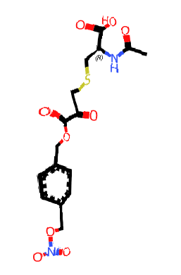 CC(=O)N[C@@H](CSCC(=O)C(=O)OCc1ccc(CO[N+](=O)[O-])cc1)C(=O)O